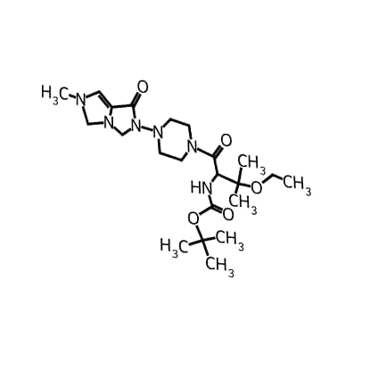 CCOC(C)(C)C(NC(=O)OC(C)(C)C)C(=O)N1CCN(N2CN3CN(C)C=C3C2=O)CC1